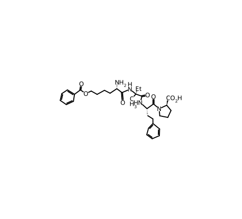 CC[C@](C)(NC(=O)[C@@H](N)CCCCOC(=O)c1ccccc1)C(=O)N[C@@H](CCc1ccccc1)C(=O)N1CCC[C@@H]1C(=O)O